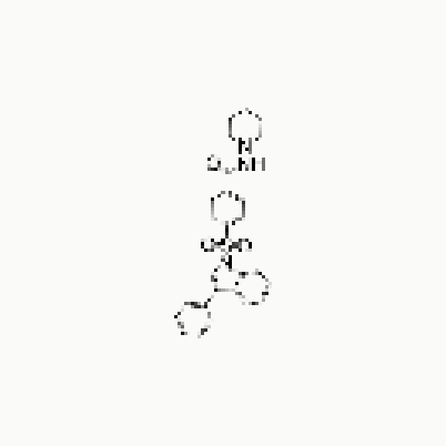 O=C(NN1CCCCC1)c1ccc(S(=O)(=O)n2cc(-c3ccccc3)c3ccccc32)cc1